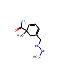 COC1(C(N)=O)C=CC=C(CNNC(=O)O)C1